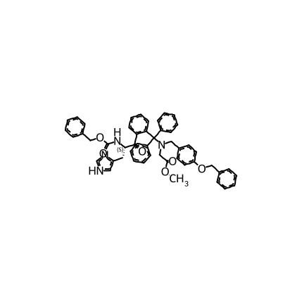 COC(=O)CN(Cc1ccc(OCc2ccccc2)cc1)C(c1ccccc1)(c1ccccc1)c1ccccc1C(=O)[C@H](Cc1c[nH]cn1)NC(=O)OCc1ccccc1